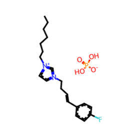 CCCCCCC[n+]1ccn(CC/C=C/c2ccc(F)cc2)c1.O=P([O-])(O)O